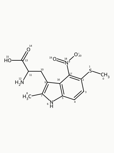 CSc1ccc2[nH]c(C)c(CC(N)C(=O)O)c2c1[N+](=O)[O-]